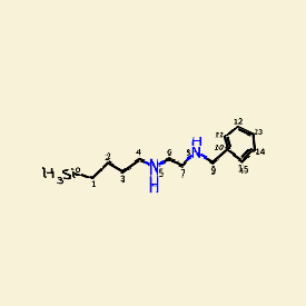 [SiH3]CCCCNCCNCc1ccccc1